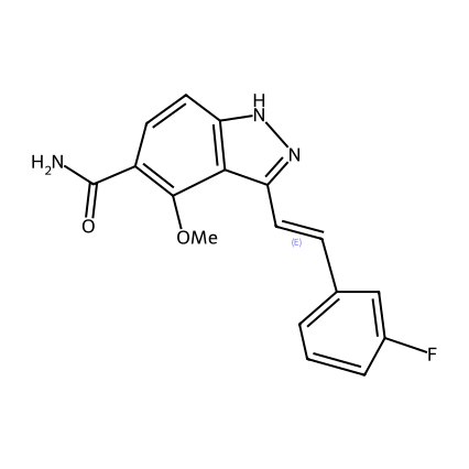 COc1c(C(N)=O)ccc2[nH]nc(/C=C/c3cccc(F)c3)c12